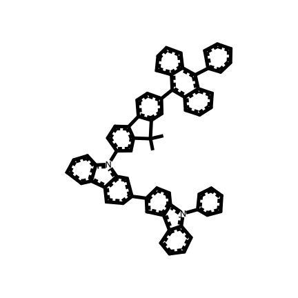 CC1(C)c2cc(-c3c4ccccc4c(-c4ccccc4)c4ccccc34)ccc2-c2ccc(-n3c4ccccc4c4ccc(-c5ccc6c(c5)c5ccccc5n6-c5ccccc5)cc43)cc21